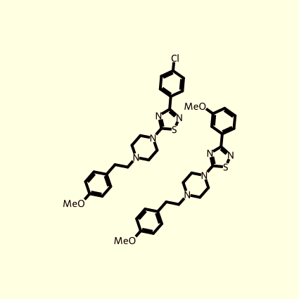 COc1ccc(CCN2CCN(c3nc(-c4ccc(Cl)cc4)ns3)CC2)cc1.COc1ccc(CCN2CCN(c3nc(-c4cccc(OC)c4)ns3)CC2)cc1